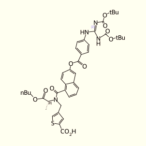 CCCCOC(=O)[C@@H](C)N(Cc1csc(C(=O)O)c1)C(=O)c1cccc2cc(OC(=O)c3ccc(N/C(=N/C(=O)OC(C)(C)C)NC(=O)OC(C)(C)C)cc3)ccc12